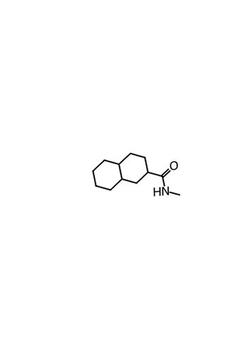 CNC(=O)C1CCC2CCCCC2C1